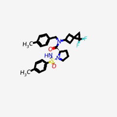 Cc1ccc(CN(C(=O)[C@@H]2CCCN2[S@](=N)(=O)c2ccc(C)cc2)C2CC3(C2)CC3(F)F)cc1